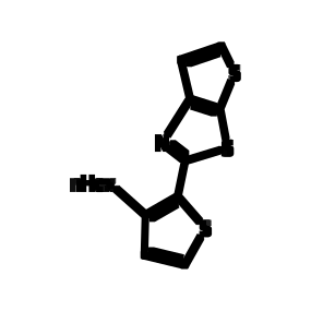 CCCCCCc1ccsc1-c1nc2ccsc2s1